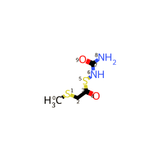 CSCC(=O)SNC(N)=O